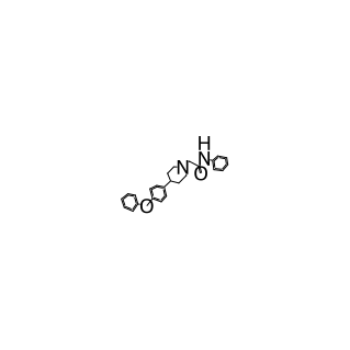 O=C(CN1CCC(c2ccc(Oc3ccccc3)cc2)CC1)Nc1ccccc1